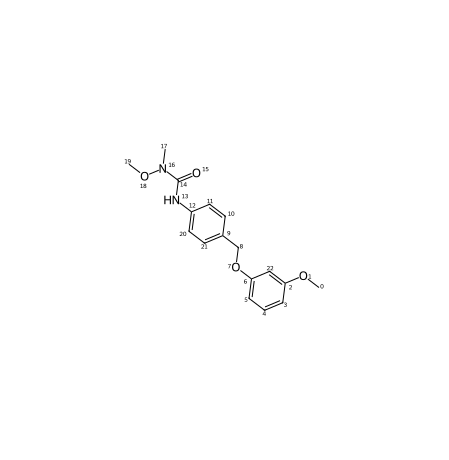 COc1cccc(OCc2ccc(NC(=O)N(C)OC)cc2)c1